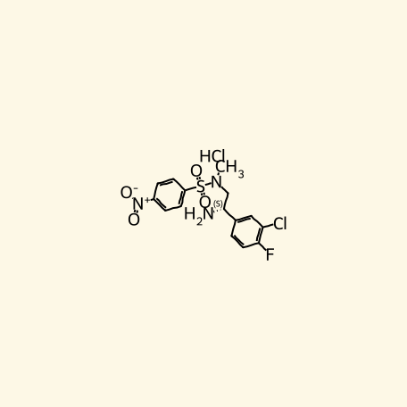 CN(C[C@@H](N)c1ccc(F)c(Cl)c1)S(=O)(=O)c1ccc([N+](=O)[O-])cc1.Cl